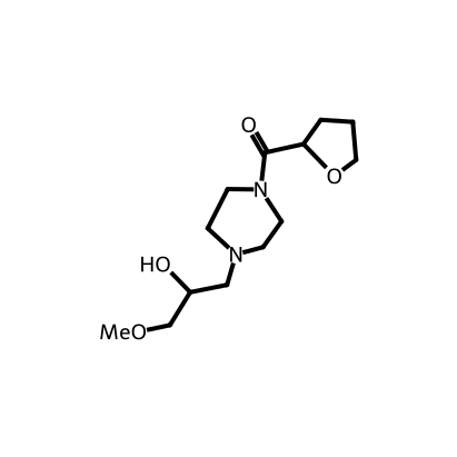 COCC(O)CN1CCN(C(=O)C2CCCO2)CC1